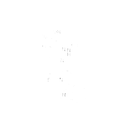 CNn1cc(C(=O)O)c(=O)c2cc3cc(F)c(N4CC(N)(c5ccccc5)C4)c(F)c3nc21